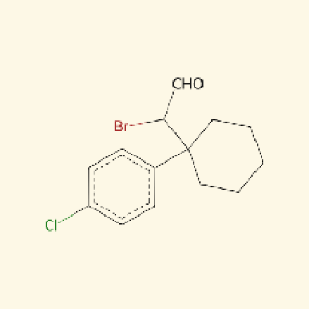 O=CC(Br)C1(c2ccc(Cl)cc2)CCCCC1